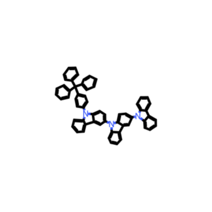 c1ccc(C(c2ccccc2)(c2ccccc2)c2ccc(-n3c4ccccc4c4cc(-n5c6ccccc6c6cc(-n7c8ccccc8c8ccccc87)ccc65)ccc43)cc2)cc1